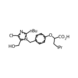 CCCCc1nc(Cl)c(CO)n1Cc1ccc(OC(CC(C)C)C(=O)O)cc1